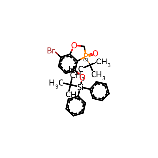 CC(C)(C)[Si](Oc1ccc(Br)c2c1[P@@](=O)(C(C)(C)C)CO2)(c1ccccc1)c1ccccc1